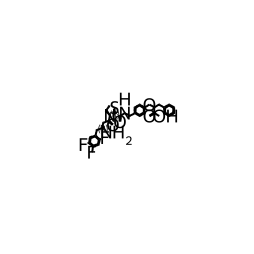 N[C@@H](CC(=O)N1CCS[C@@H]1C(=O)NCc1ccc(OC(Cc2ccccc2)C(=O)O)cc1)Cc1cc(F)c(F)cc1F